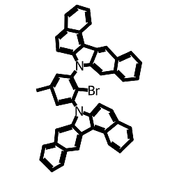 Cc1cc(-n2c3cc4ccccc4cc3c3c4ccccc4ccc32)c(Br)c(-n2c3cc4ccccc4cc3c3c4ccccc4ccc32)c1